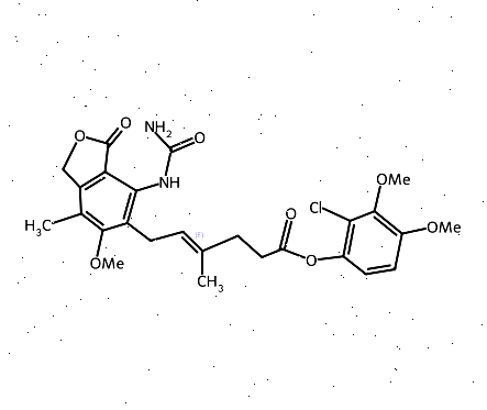 COc1ccc(OC(=O)CC/C(C)=C/Cc2c(NC(N)=O)c3c(c(C)c2OC)COC3=O)c(Cl)c1OC